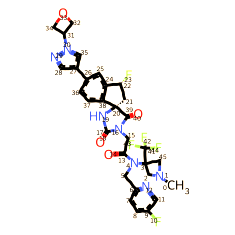 CN1CC(N(Cc2ccc(F)cn2)C(=O)CN2C(=O)N[C@]3(C[C@@H](F)c4cc(-c5cnn(C6COC6)c5)ccc43)C2=O)(C(F)(F)F)C1